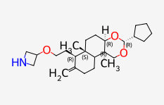 C=C1CCC2[C@]3(C)CO[C@@H](C4CCCC4)O[C@@H]3CC[C@@]2(C)[C@@H]1CCOC1CNC1